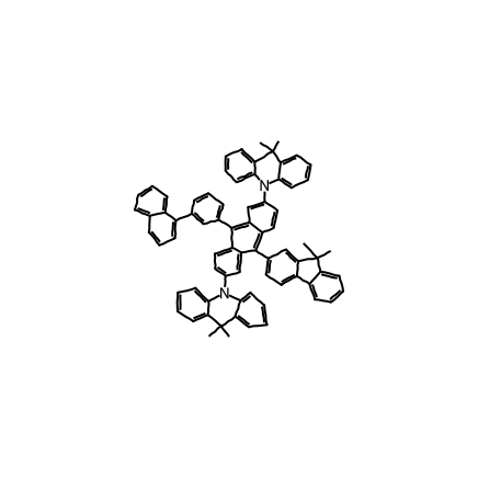 CC1(C)c2ccccc2-c2ccc(-c3c4ccc(N5c6ccccc6C(C)(C)c6ccccc65)cc4c(-c4cccc(-c5cccc6ccccc56)c4)c4ccc(N5c6ccccc6C(C)(C)c6ccccc65)cc34)cc21